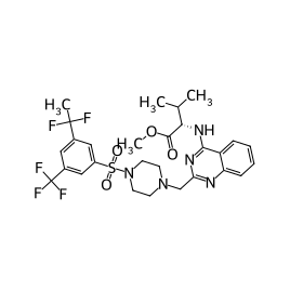 COC(=O)[C@@H](Nc1nc(CN2CCN(S(=O)(=O)c3cc(C(C)(F)F)cc(C(F)(F)F)c3)CC2)nc2ccccc12)C(C)C